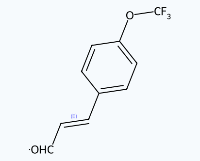 O=[C]/C=C/c1ccc(OC(F)(F)F)cc1